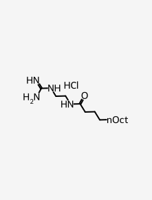 CCCCCCCCCCCC(=O)NCCNC(=N)N.Cl